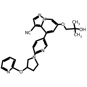 CC(C)(O)COc1cc(-c2ccc(N3CCC(Oc4ccccn4)C3)nc2)c2c(C#N)cnn2c1